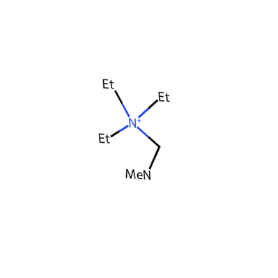 CC[N+](CC)(CC)CNC